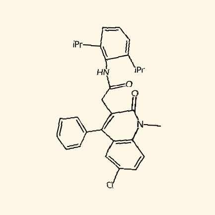 CC(C)c1cccc(C(C)C)c1NC(=O)Cc1c(-c2ccccc2)c2cc(Cl)ccc2n(C)c1=O